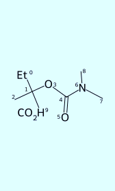 CCC(C)(OC(=O)N(C)C)C(=O)O